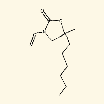 C=CN1CC(C)(CCCCCC)OC1=O